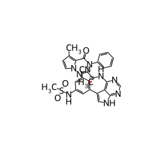 Cc1ccn2nc([C@H](C)Nc3ncnc4[nH]cc(-c5cc(C#N)cc(NS(C)(=O)=O)c5)c34)n(-c3ccccc3)c(=O)c12